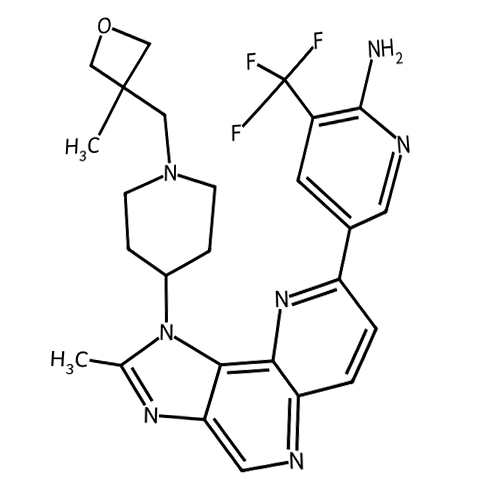 Cc1nc2cnc3ccc(-c4cnc(N)c(C(F)(F)F)c4)nc3c2n1C1CCN(CC2(C)COC2)CC1